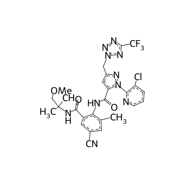 COCC(C)(C)NC(=O)c1cc(C#N)cc(C)c1NC(=O)c1cc(Cn2nnc(C(F)(F)F)n2)nn1-c1ncccc1Cl